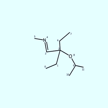 CCC(C=NC)(CC)OC(C)C